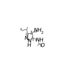 CCc1n[nH]c(NC=O)c1N